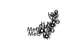 COc1cc(Nc2ncccc2/C=C/C(=O)Nc2ccc3c(c2N)CN(C2CCC(=O)NC2=O)C3=O)cc(OC)c1OC